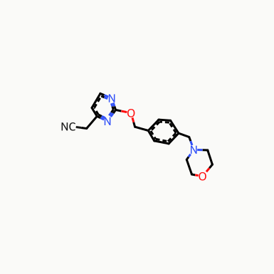 N#CCc1ccnc(OCc2ccc(CN3CCOCC3)cc2)n1